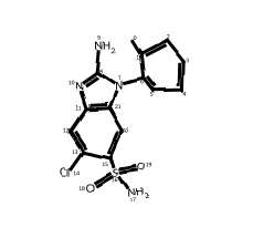 Cc1ccccc1-n1c(N)nc2cc(Cl)c(S(N)(=O)=O)cc21